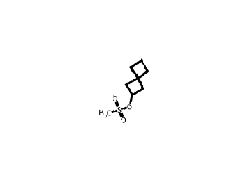 CS(=O)(=O)OC1CC2(CCC2)C1